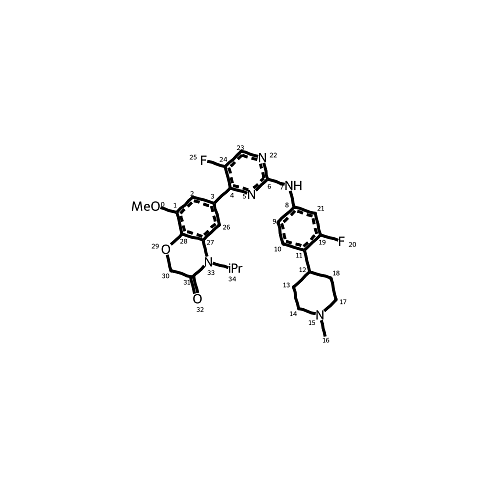 COc1cc(-c2nc(Nc3ccc(C4CCN(C)CC4)c(F)c3)ncc2F)cc2c1OCC(=O)N2C(C)C